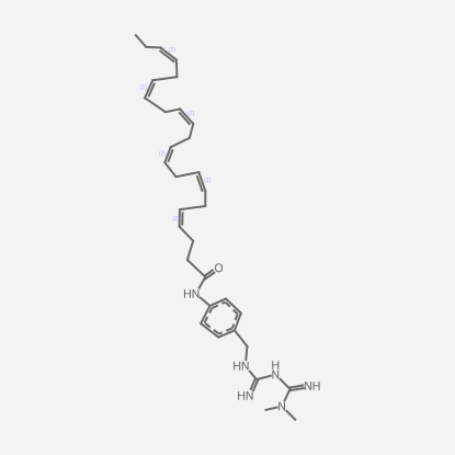 CC/C=C\C/C=C\C/C=C\C/C=C\C/C=C\C/C=C\CCC(=O)Nc1ccc(CNC(=N)NC(=N)N(C)C)cc1